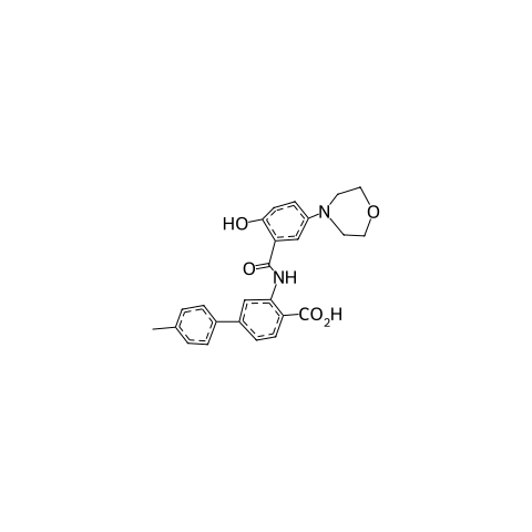 Cc1ccc(-c2ccc(C(=O)O)c(NC(=O)c3cc(N4CCOCC4)ccc3O)c2)cc1